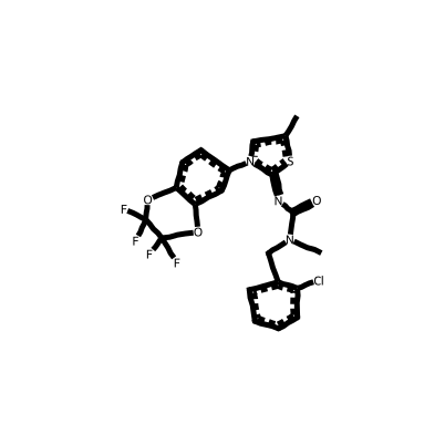 Cc1cn(-c2ccc3c(c2)OC(F)(F)C(F)(F)O3)/c(=N/C(=O)N(C)Cc2ccccc2Cl)s1